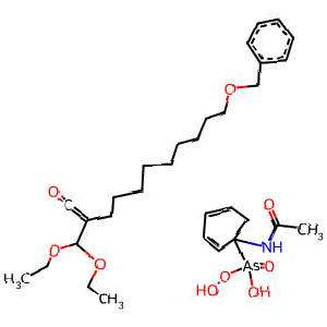 CC(=O)NC1([As](=O)(O)OO)C=CC=CC1.CCOC(OCC)C(=C=O)CCCCCCCCCOCc1ccccc1